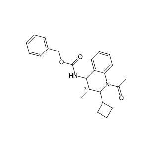 CC(=O)N1c2ccccc2C(NC(=O)OCc2ccccc2)[C@@H](C)C1C1CCC1